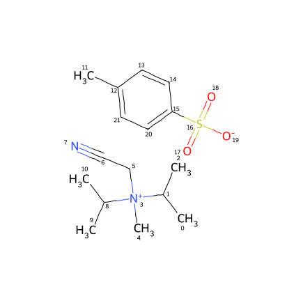 CC(C)[N+](C)(CC#N)C(C)C.Cc1ccc(S(=O)(=O)[O-])cc1